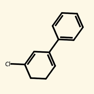 ClC1=CC(c2ccccc2)=CCC1